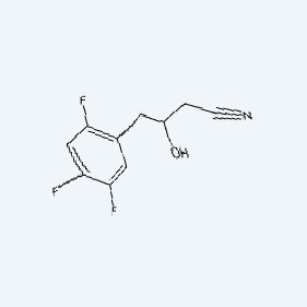 N#CCC(O)Cc1cc(F)c(F)cc1F